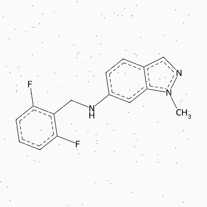 Cn1ncc2ccc(NCc3c(F)cccc3F)cc21